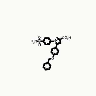 NS(=O)(=O)c1ccc(-n2nc(C(=O)O)cc2-c2ccc(OCc3ccccc3)cc2)cc1